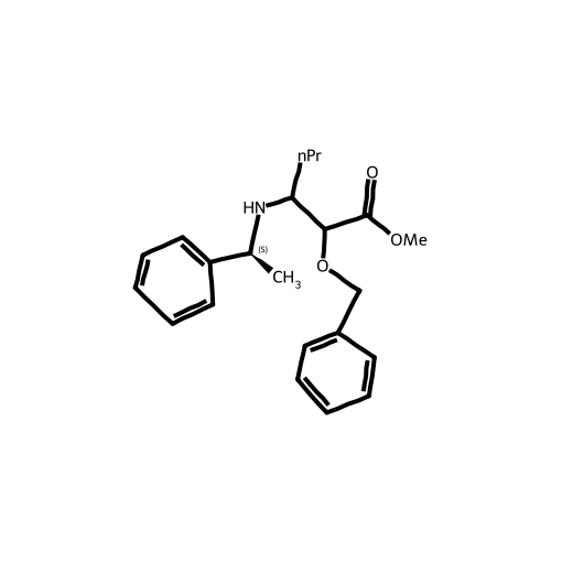 CCCC(N[C@@H](C)c1ccccc1)C(OCc1ccccc1)C(=O)OC